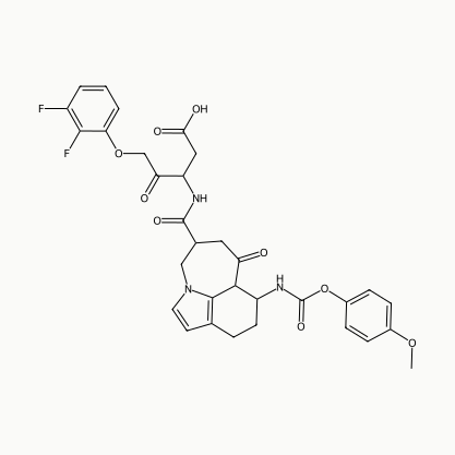 COc1ccc(OC(=O)NC2CCc3ccn4c3C2C(=O)CC(C(=O)NC(CC(=O)O)C(=O)COc2cccc(F)c2F)C4)cc1